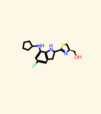 OC[C@@H]1CSC(C2Cc3cc(F)cc(NC4CCCC4)c3N2)=N1